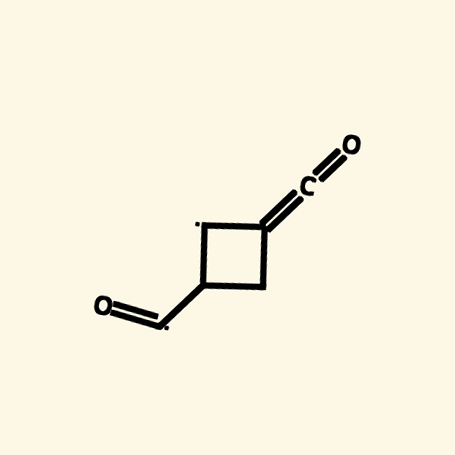 O=[C]C1[CH]C(=C=O)C1